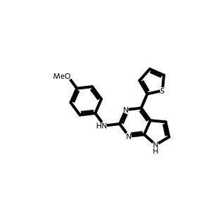 COc1ccc(Nc2nc(-c3cccs3)c3cc[nH]c3n2)cc1